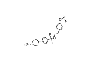 CCC[C@H]1CC[C@H](c2ccc(C(F)(F)OCCc3ccc(OC(F)F)cc3)cc2)CC1